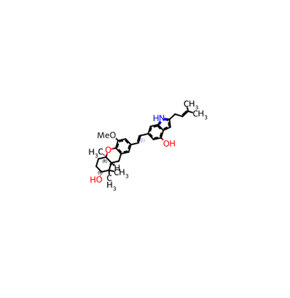 COc1cc(/C=C/c2cc(O)c3cc(CC=C(C)C)[nH]c3c2)cc2c1O[C@]1(C)CC[C@@H](O)C(C)(C)[C@H]1C2